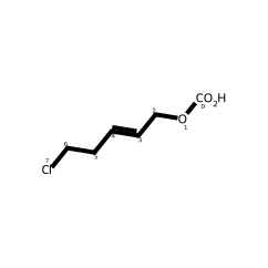 O=C(O)OCC=CCCCl